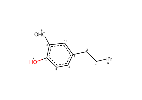 CC(C)CCc1ccc(O)c(C=O)c1